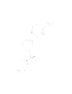 COCC(=O)Nc1cccc(C2(C)CCSC(N)=N2)c1